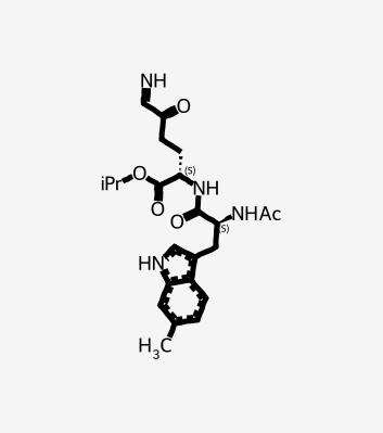 CC(=O)N[C@@H](Cc1c[nH]c2cc(C)ccc12)C(=O)N[C@@H](CCC(=O)C=N)C(=O)OC(C)C